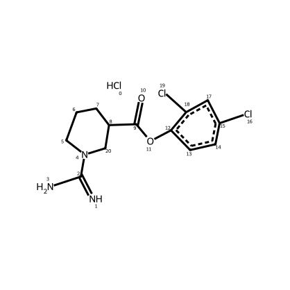 Cl.N=C(N)N1CCCC(C(=O)Oc2ccc(Cl)cc2Cl)C1